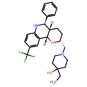 CCC1(O)CCN(C[C@H]2CC[C@@H]3[C@H](O2)c2cc(C(F)(F)F)ccc2N[C@H]3c2ccccc2)CC1